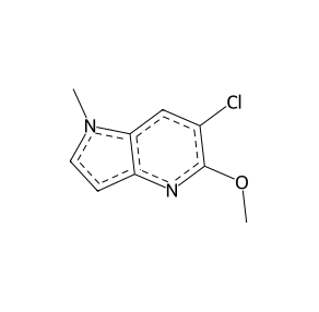 COc1nc2ccn(C)c2cc1Cl